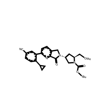 COC[C@@H]1C[C@@H](N2Cc3ccc(-c4cc(C#N)ccc4C4CC4)nc3C2=O)CN1C(=O)OC(C)(C)C